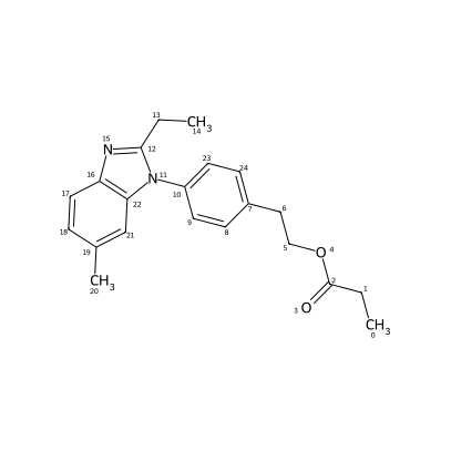 CCC(=O)OCCc1ccc(-n2c(CC)nc3ccc(C)cc32)cc1